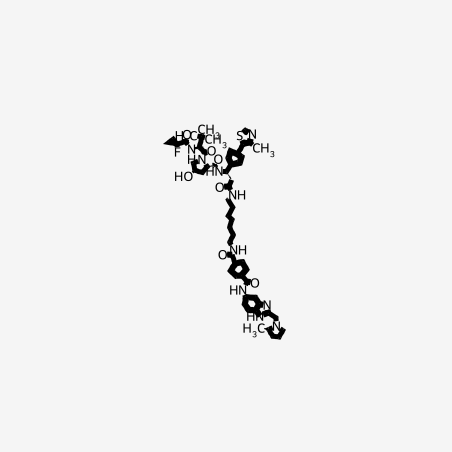 Cc1ncsc1-c1ccc([C@H](CC(=O)NCCCCCCCNC(=O)c2ccc(C(=O)Nc3ccc4[nH]c(CN5CCC[C@@H]5C)nc4c3)cc2)NC(=O)[C@@H]2C[C@@H](O)CN2C(=O)[C@@H](NC(=O)C2(F)CC2)C(C)(C)C)cc1